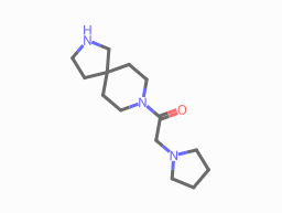 O=C(CN1CCCC1)N1CCC2(CCNC2)CC1